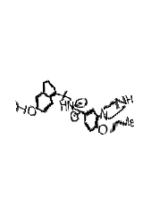 COc1ccc(S(=O)(=O)NCC(C)(C)c2cccc3cc(O)ccc23)cc1N1CCNCC1